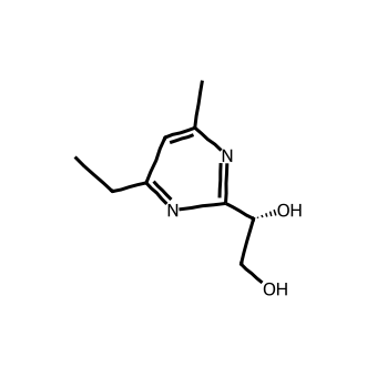 CCc1cc(C)nc([C@H](O)CO)n1